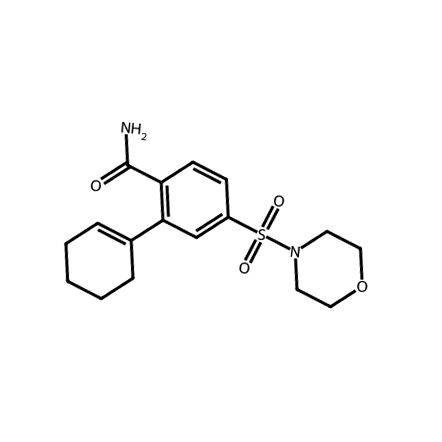 NC(=O)c1ccc(S(=O)(=O)N2CCOCC2)cc1C1=CCCCC1